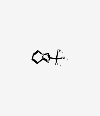 CC(C)(N)c1cn2ccccc2n1